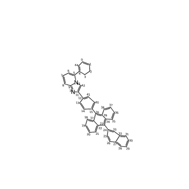 C1=CCCC(c2cccc3nc(-c4ccc(-c5c6ccccc6c(-c6ccc7ccccc7c6)c6ccccc56)cc4)cn23)=C1